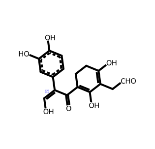 O=CCC1=C(O)CCC(C(=O)/C(=C\O)c2ccc(O)c(O)c2)=C1O